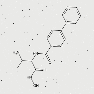 CC(N)C(NC(=O)c1ccc(-c2ccccc2)cc1)C(=O)NO